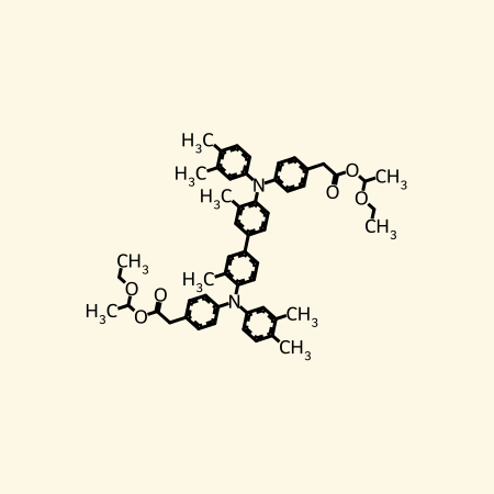 CCOC(C)OC(=O)Cc1ccc(N(c2ccc(C)c(C)c2)c2ccc(-c3ccc(N(c4ccc(CC(=O)OC(C)OCC)cc4)c4ccc(C)c(C)c4)c(C)c3)cc2C)cc1